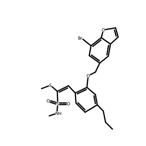 CCCc1ccc(C=C(SC)S(=O)(=O)NC)c(OCc2cc(Br)c3occc3c2)c1